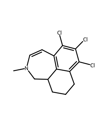 CN1C=Cc2c(Cl)c(Cl)c(Cl)c3c2C(CCC3)C1